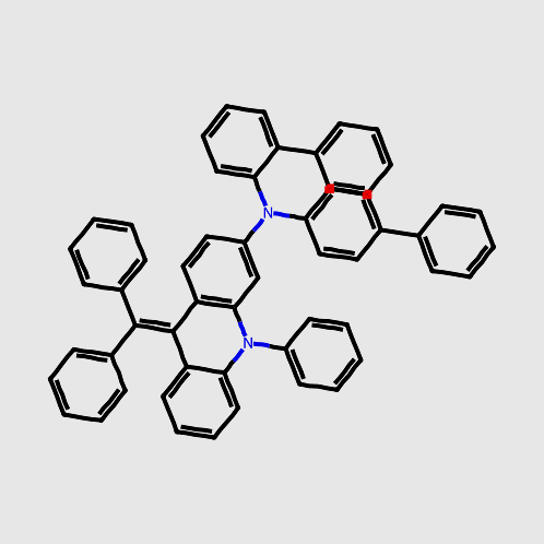 c1ccc(C(=C2c3ccccc3N(c3ccccc3)c3cc(N(c4ccc(-c5ccccc5)cc4)c4ccccc4-c4ccccc4)ccc32)c2ccccc2)cc1